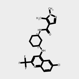 Cc1c(C(=O)N[C@@H]2CCC[C@H](Nc3cc(C(F)(F)F)nc4ccc(Cl)cc34)C2)cnn1C